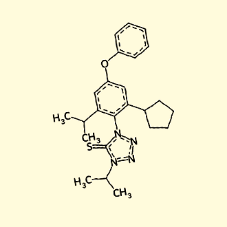 CC(C)c1cc(Oc2ccccc2)cc(C2CCCC2)c1-n1nnn(C(C)C)c1=S